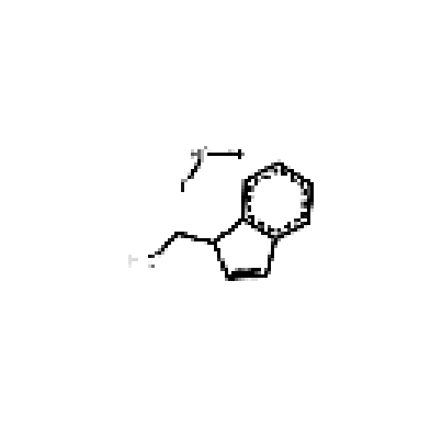 CC[C]1C=Cc2ccccc21.[F][Hf][F]